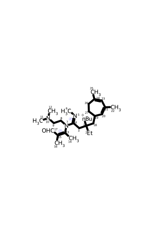 CCCCC(CC)(C/C(=N/C)N(CCN(C)C)/C(C)=C(/C)C=O)CC1C=C(C)C=C(C)CC1